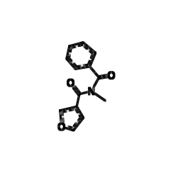 CN(C(=O)c1ccccc1)C(=O)c1ccoc1